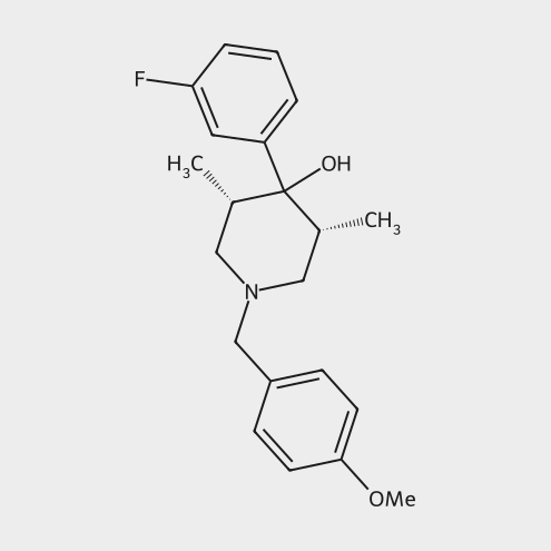 COc1ccc(CN2C[C@@H](C)C(O)(c3cccc(F)c3)[C@@H](C)C2)cc1